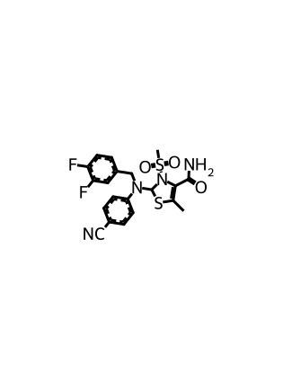 CC1=C(C(N)=O)N(S(C)(=O)=O)C(N(Cc2ccc(F)c(F)c2)c2ccc(C#N)cc2)S1